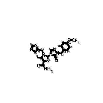 CC1=C(C(N)=O)SC(n2cnn(Cc3ccc(OC(F)(F)F)cc3)c2=O)N1Cc1cncs1